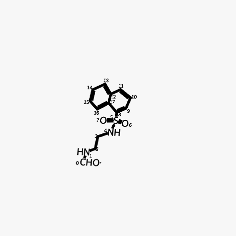 O=[C]NCCNS(=O)(=O)c1cccc2ccccc12